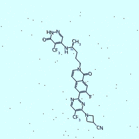 C[C@@H](CCCn1ccc2cc(-c3ncc(C(F)(F)F)c(N4CC(C#N)C4)n3)c(F)cc2c1=O)Nc1cn[nH]c(=O)c1C(F)(F)F